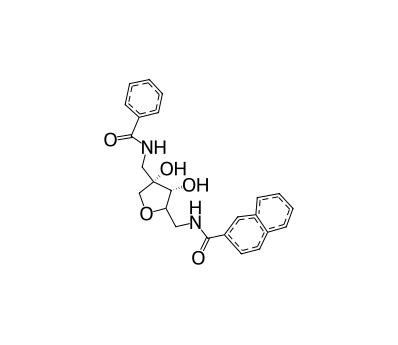 O=C(NCC1OC[C@@](O)(CNC(=O)c2ccccc2)[C@@H]1O)c1ccc2ccccc2c1